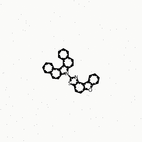 c1ccc2c(c1)ccc1c2c2c3ccccc3ccc2n1-c1nc2c(ccc3oc4ccccc4c32)s1